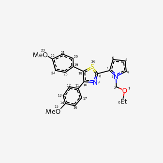 CCOCn1cccc1-c1nc(-c2ccc(OC)cc2)c(-c2ccc(OC)cc2)s1